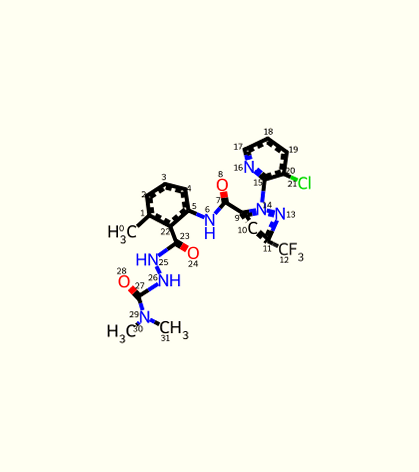 Cc1cccc(NC(=O)c2cc(C(F)(F)F)nn2-c2ncccc2Cl)c1C(=O)NNC(=O)N(C)C